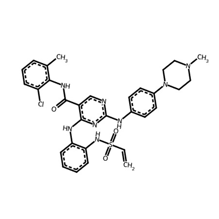 C=CS(=O)(=O)Nc1ccccc1Nc1nc(Nc2ccc(N3CCN(C)CC3)cc2)ncc1C(=O)Nc1c(C)cccc1Cl